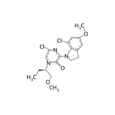 CC[C@H](COC)n1cc(Cl)nc(N2CCc3cc(OC)cc(Cl)c32)c1=O